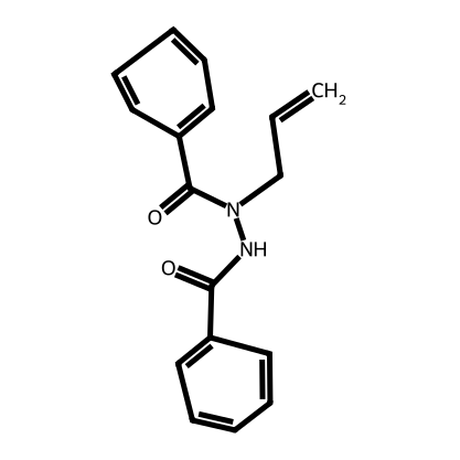 C=CCN(NC(=O)c1ccccc1)C(=O)c1ccccc1